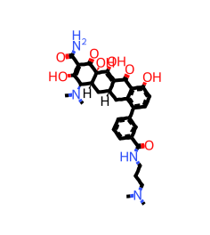 CN(C)CCCNC(=O)c1cccc(-c2ccc(O)c3c2C[C@H]2C[C@H]4[C@@H](N(C)C)C(O)=C(C(N)=O)C(=O)[C@@]4(O)C(O)=C2C3=O)c1